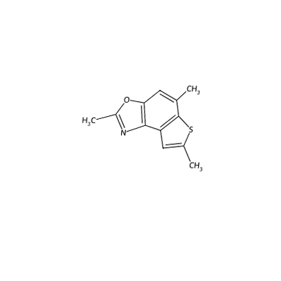 Cc1nc2c(cc(C)c3sc(C)cc32)o1